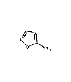 Cc1ccno1